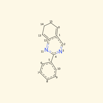 C1=c2cnc(-c3ccccc3)nc2=CCC1